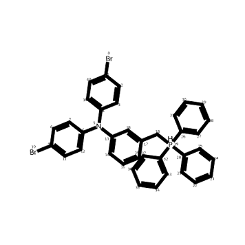 Brc1ccc(N(c2ccc(Br)cc2)c2cccc(C[PH](c3ccccc3)(c3ccccc3)c3ccccc3)c2)cc1